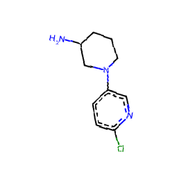 NC1CCCN(c2ccc(Cl)nc2)C1